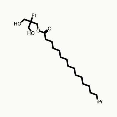 CCC(CO)(CO)COC(=O)CCCCCCCCCCCCCCC(C)C